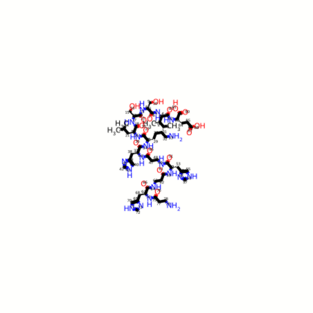 CC[C@H](C)[C@H](NC(=O)[C@H](CO)NC(=O)[C@H](CO)NC(=O)[C@H](CC(C)C)NC(=O)[C@H](CCCCN)NC(=O)[C@H](Cc1c[nH]cn1)NC(=O)CCNC(=O)[C@H](Cc1c[nH]cn1)NC(=O)CCNC(=O)[C@H](Cc1c[nH]cn1)NC(=O)CCN)C(=O)N[C@@H](CCC(=O)O)C(=O)O